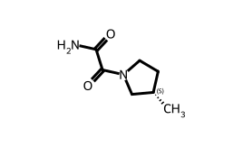 C[C@H]1CCN(C(=O)C(N)=O)C1